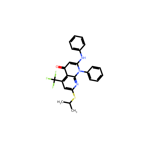 CC(C)Sc1cc(C(F)(F)F)c2c(=O)cc(Nc3ccccc3)n(-c3ccccc3)c2n1